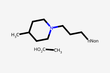 CC(=O)O.CCCCCCCCCCCCN1CCC(C)CC1